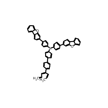 C=C/C=C(\C=C/C)c1ccc(-c2ccc(N(c3ccc(-c4ccc5c(c4)oc4ccccc45)cc3)c3ccc(-c4ccc5c(c4)oc4ccccc45)cc3)cc2)cc1